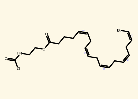 CC/C=C\C/C=C\C/C=C\C/C=C\C/C=C\CCCC(=O)OCCNC(=O)Cl